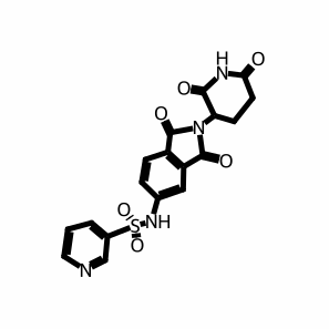 O=C1CCC(N2C(=O)c3ccc(NS(=O)(=O)c4cccnc4)cc3C2=O)C(=O)N1